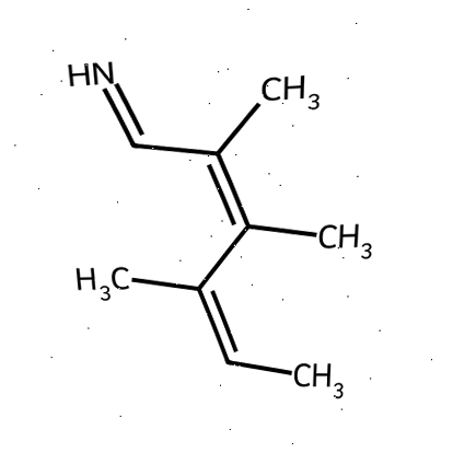 C/C=C(C)\C(C)=C(\C)C=N